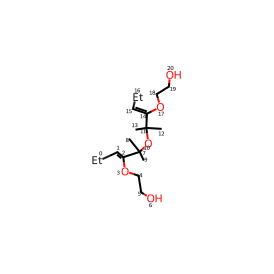 CCC=C(OCCO)C(C)(C)OC(C)(C)C(=CCC)OCCO